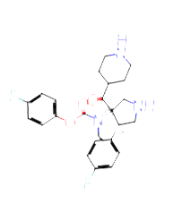 CCN(C(=O)Oc1ccc(F)cc1)[C@]1(C(=O)C2CCNCC2)CNC[C@H]1c1ccc(F)cc1